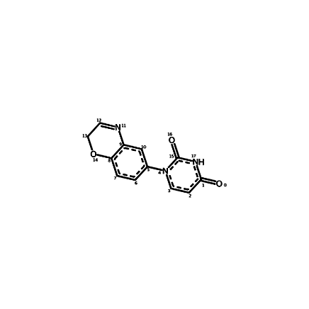 O=c1ccn(-c2ccc3c(c2)N=CCO3)c(=O)[nH]1